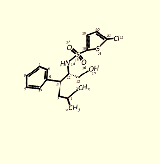 CC(C)C[C@@H](c1ccccc1)[C@@H](CO)NS(=O)(=O)c1ccc(Cl)s1